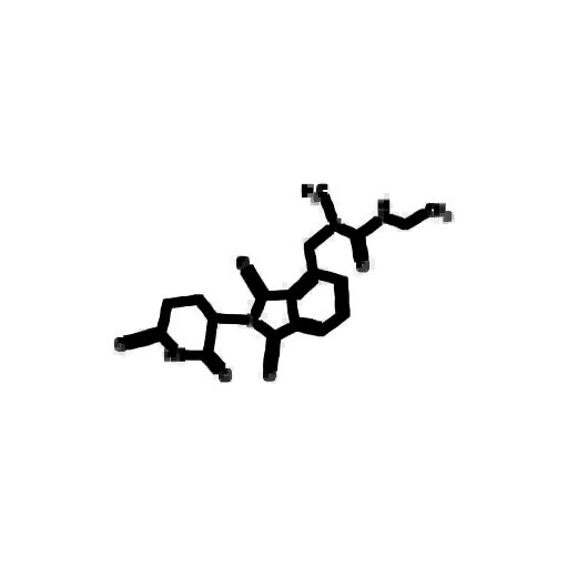 CCNC(=O)N(C)Cc1cccc2c1C(=O)N(C1CCC(=O)NC1=O)C2=O